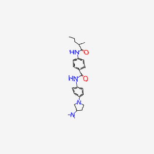 CCCC(C)C(=O)Nc1ccc(C(=O)Nc2ccc(N3CCC(N(C)C)C3)cc2)cc1